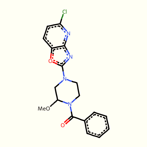 COC1CN(c2nc3nc(Cl)ccc3o2)CCN1C(=O)c1ccccc1